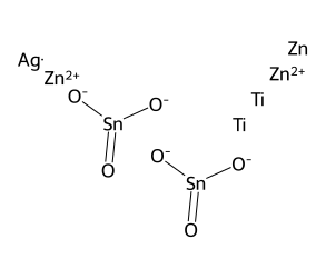 [Ag].[O]=[Sn]([O-])[O-].[O]=[Sn]([O-])[O-].[Ti].[Ti].[Zn+2].[Zn+2].[Zn]